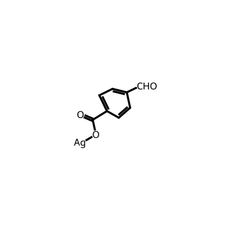 O=Cc1ccc(C(=O)[O][Ag])cc1